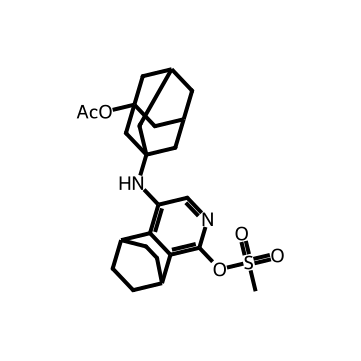 CC(=O)OC12CC3CC(CC(Nc4cnc(OS(C)(=O)=O)c5c4C4CCC5CC4)(C3)C1)C2